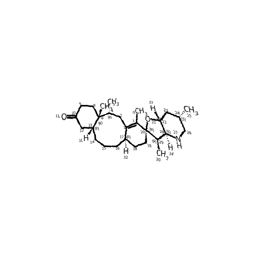 CC1=C2C[C@@H](C)[C@@]3(C)CCC(=O)C[C@H]3CCC[C@@H]2CC[C@]12O[C@@H]1C[C@H](C)CN[C@H]1[C@H]2C